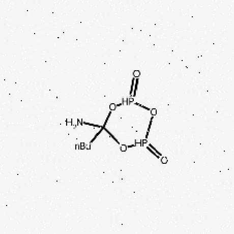 CCCCC1(N)O[PH](=O)O[PH](=O)O1